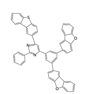 c1ccc(-c2nc(-c3cc(-c4ccc5oc6ccccc6c5c4)cc(-c4ccc5oc6ccccc6c5c4)c3)cc(-c3ccc4sc5ccccc5c4c3)n2)cc1